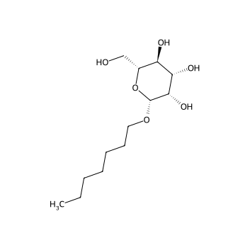 CCCCCCCO[C@@H]1O[C@H](CO)[C@@H](O)[C@H](O)[C@@H]1O